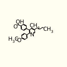 CCCCc1cnc(-c2ccc(OC)cc2)c(-c2ccc(C(=O)O)cc2)c1C